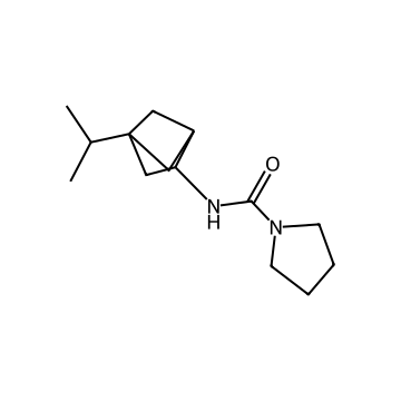 CC(C)C12CC(C1)C(NC(=O)N1CCCC1)C2